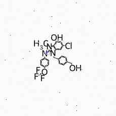 Cn1/c(=N/c2ccc(OC(F)(F)F)cc2)n(Cc2ccc(CO)cc2)c2cc(Cl)cc(O)c21